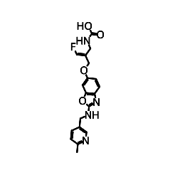 Cc1ccc(CNc2nc3ccc(OCC(=CF)CNC(=O)O)cc3o2)cn1